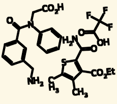 CCOC(=O)c1c(C(N)=O)sc(C)c1C.NCc1cccc(C(=O)N(CC(=O)O)c2ccccc2)c1.O=C(O)C(F)(F)F